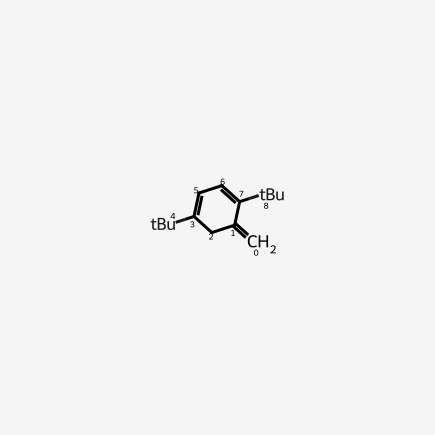 C=C1CC(C(C)(C)C)=CC=C1C(C)(C)C